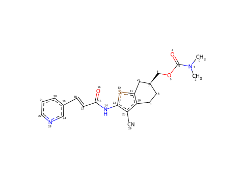 CN(C)C(=O)OC[C@H]1CCc2c(sc(NC(=O)C=Cc3cccnc3)c2C#N)C1